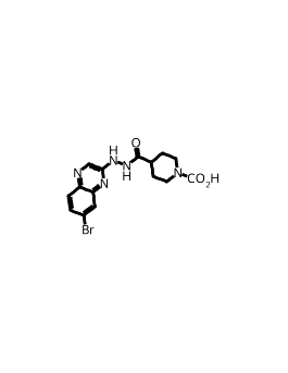 O=C(NNc1cnc2ccc(Br)cc2n1)C1CCN(C(=O)O)CC1